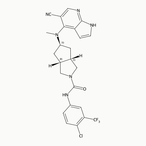 CN(c1c(C#N)cnc2[nH]ccc12)[C@H]1C[C@@H]2CN(C(=O)Nc3ccc(Cl)c(C(F)(F)F)c3)C[C@@H]2C1